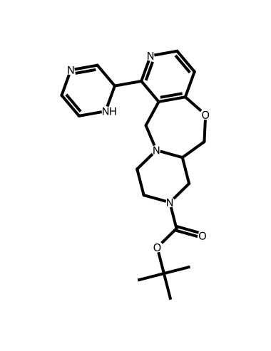 CC(C)(C)OC(=O)N1CCN2Cc3c(ccnc3C3C=NC=CN3)OCC2C1